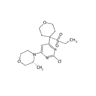 CCS(=O)(=O)C1(c2cc(N3CCOC[C@H]3C)nc(Cl)n2)CCOCC1